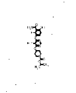 Cc1c(Oc2ccc(O)c(C(N)=O)c2F)ncnc1OC1CCN(C(=O)OC(C)C)CC1